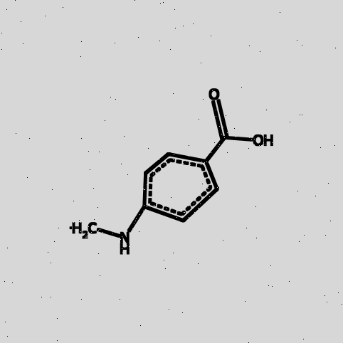 [CH2]Nc1ccc(C(=O)O)cc1